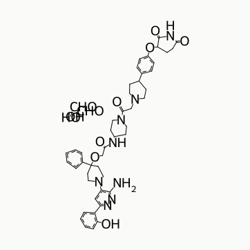 Nc1nnc(-c2ccccc2O)cc1N1CCC(OCC(=O)NC2CCN(C(=O)CN3CCC(c4ccc(OC5CCC(=O)NC5=O)cc4)CC3)CC2)(c2ccccc2)CC1.O=CO.O=CO